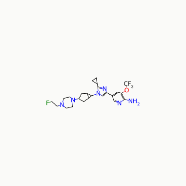 Nc1ncc(-c2cn(C3C4CC(N5CCN(CCF)CC5)CC43)c(C3CC3)n2)cc1OC(F)(F)F